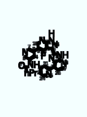 CCCC(=O)Nc1cncc(-c2cnc3[nH]nc(-c4nc5c(-c6ccccn6)ccnc5[nH]4)c3c2F)c1